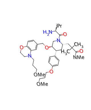 CNC(=O)C(C)(C)C[C@@H]1C[C@H](c2ccc(OCCCOC)cc2)[C@@H](OCc2ccc3c(c2)N(CCCOC)CCO3)CN1C(=O)[C@@H](N)C(C)C